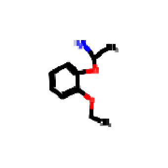 CCOc1ccccc1OC(C)N